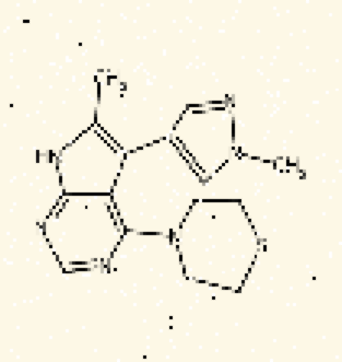 Cc1[nH]c2ncnc(N3CCSCC3)c2c1-c1cnn(C)c1